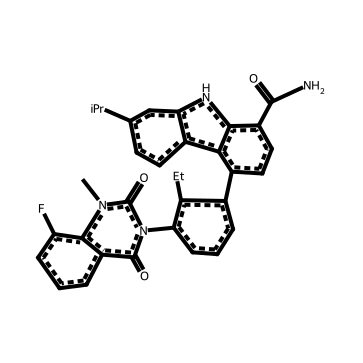 CCc1c(-c2ccc(C(N)=O)c3[nH]c4cc(C(C)C)ccc4c23)cccc1-n1c(=O)c2cccc(F)c2n(C)c1=O